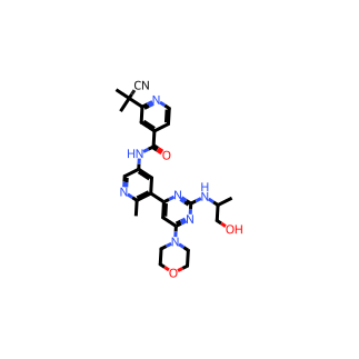 Cc1ncc(NC(=O)c2ccnc(C(C)(C)C#N)c2)cc1-c1cc(N2CCOCC2)nc(NC(C)CO)n1